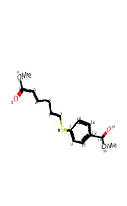 COC(=O)CCCCCSc1ccc(C(=O)OC)cc1